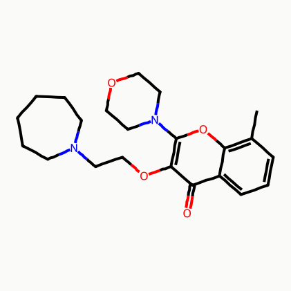 Cc1cccc2c(=O)c(OCCN3CCCCCC3)c(N3CCOCC3)oc12